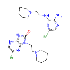 Nc1ncc(Br)nc1NCCN1CCCCC1.O=c1[nH]c2ncc(Br)nc2n1CCN1CCCCC1